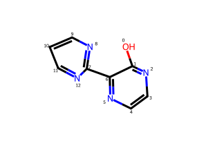 Oc1nccnc1-c1ncccn1